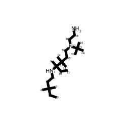 CCC(C)(C)CCNC(C)(CC)C(C)(C)CCN(CCN)C(C)(C)C